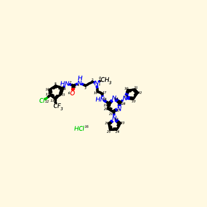 CN(CCNC(=O)Nc1ccc(Cl)c(C(F)(F)F)c1)CCNc1cc(-n2cccc2)nc(-n2cccc2)n1.Cl